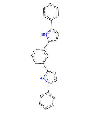 c1ccc(-c2ccc(-c3cccc(-c4ccc(-c5ccccc5)[nH]4)c3)[nH]2)cc1